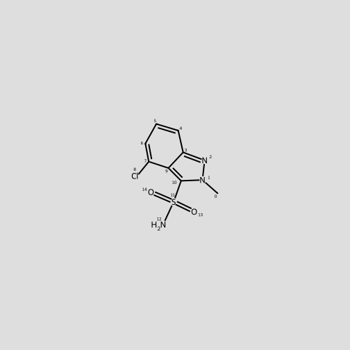 Cn1nc2cccc(Cl)c2c1S(N)(=O)=O